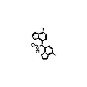 Cc1ccc([CH](c2ccc(C)c3c2CC=C3)[Zr]([Cl])[Cl])c2c1C=CC2